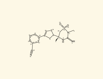 CN1C(=N)N[C@](C)(C2CC(c3cccc(C#N)c3)=CS2)CS1(=O)=O